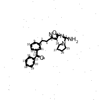 NC(=Nc1cc(CCc2cccc(C(=O)c3ccccc3)c2)no1)N1CCCC1